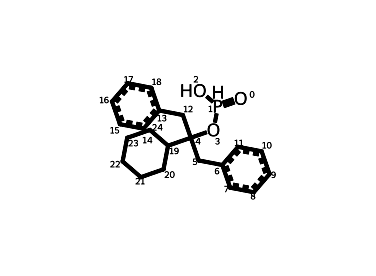 O=[PH](O)OC(Cc1ccccc1)(Cc1ccccc1)C1CCCCC1